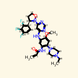 C=CC(=O)Nc1cc(Nc2cc(N3OCC[C@@H]3c3ccc(F)c(F)c3F)ncn2)c(OC)cc1N1CCN(CC)CC1